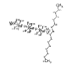 CCCCCCCCCCCCCCCC.F[P-](F)(F)(F)(F)F.F[P-](F)(F)(F)(F)F.F[P-](F)(F)(F)(F)F.O.[Mn+3]